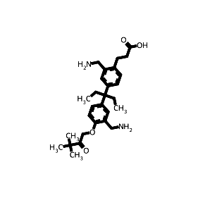 CCC(CC)(c1ccc(CCC(=O)O)c(CN)c1)c1ccc(OCC(=O)C(C)(C)C)c(CN)c1